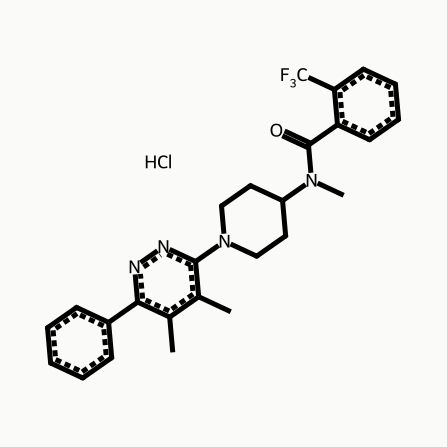 Cc1c(-c2ccccc2)nnc(N2CCC(N(C)C(=O)c3ccccc3C(F)(F)F)CC2)c1C.Cl